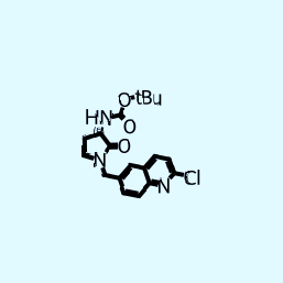 CC(C)(C)OC(=O)N[C@H]1CCN(Cc2ccc3nc(Cl)ccc3c2)C1=O